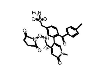 Cc1ccc(C(=O)c2ccc(CS(N)(=O)=O)cc2-c2cn(C)c(=O)cc2[C@H](C)NON2C(=O)CCC2=O)cc1